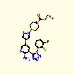 CCC(=O)N1CCC(n2cc(-c3cnc(N)c(-c4nnnn4-c4cccc(F)c4F)c3)cn2)CC1